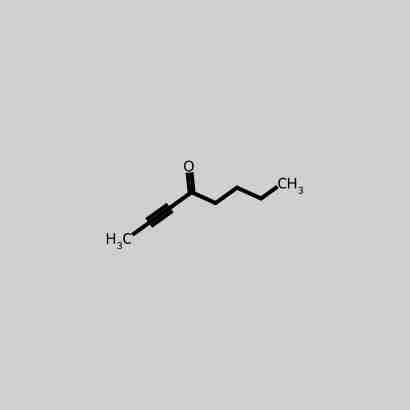 CC#CC(=O)CCCC